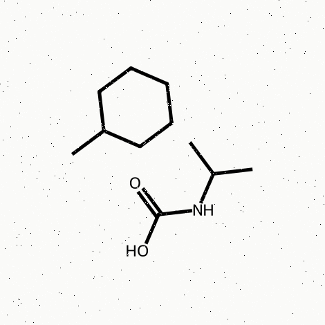 CC(C)NC(=O)O.CC1CCCCC1